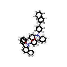 C1=Cc2c(ccc3c4ccccc4n(-c4ccc(-c5ccccc5N(c5ccc(-c6ccccc6)cc5)c5ccc(-c6ccc7ccccc7c6)cc5)cc4)c23)CC1